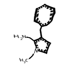 Cn1ccc(-c2ccccc2)c1N